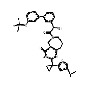 CC(C)c1csc(C2(c3nc4c(c(=O)[nH]3)CN(C(=O)C(O)c3cccc(-c5cccc(OC(F)(F)F)c5)c3)CCC4)CC2)c1